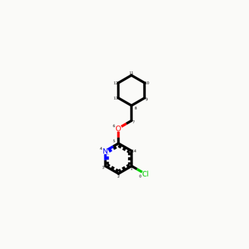 Clc1ccnc(OCC2CCCCC2)c1